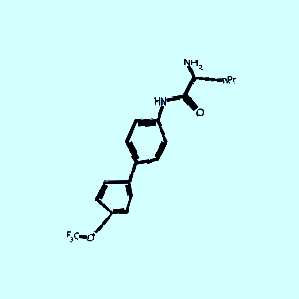 CCCC(N)C(=O)Nc1ccc(-c2ccc(OC(F)(F)F)cc2)cc1